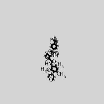 Cc1cc(C)c(N2CCOCC2)c(C)c1NC(=O)c1sccc1NS(=O)(=O)c1ccc(C(F)(F)F)cc1